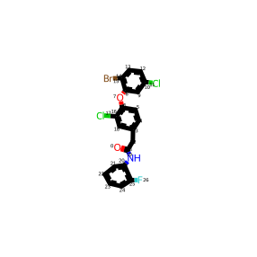 O=C(Cc1ccc(Oc2cc(Cl)ccc2Br)c(Cl)c1)Nc1ccccc1F